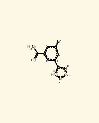 NC(=O)c1cc(Br)cc(-c2nnn[nH]2)c1